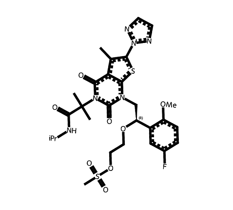 COc1ccc(F)cc1[C@H](Cn1c(=O)n(C(C)(C)C(=O)NC(C)C)c(=O)c2c(C)c(-n3nccn3)sc21)OCCOS(C)(=O)=O